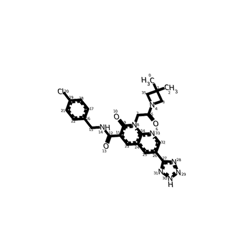 CC1(C)CN(C(=O)Cn2c(=O)c(C(=O)NCc3ccc(Cl)cc3)cc3cc(-c4nn[nH]n4)cnc32)C1